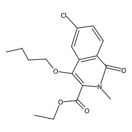 CCCCOc1c(C(=O)OCC)n(C)c(=O)c2ccc(Cl)cc12